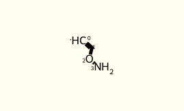 [CH]=CON